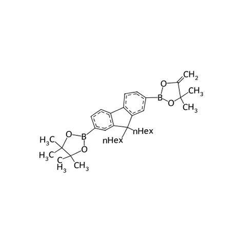 C=C1OB(c2ccc3c(c2)C(CCCCCC)(CCCCCC)c2cc(B4OC(C)(C)C(C)(C)O4)ccc2-3)OC1(C)C